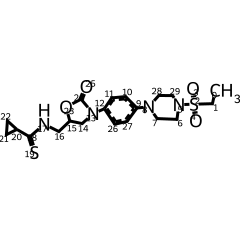 CCS(=O)(=O)N1CCN(c2ccc(N3CC(CNC(=S)C4CC4)OC3=O)cc2)CC1